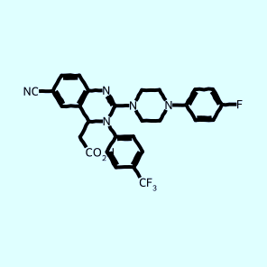 N#Cc1ccc2c(c1)C(CC(=O)O)N(c1ccc(C(F)(F)F)cc1)C(N1CCN(c3ccc(F)cc3)CC1)=N2